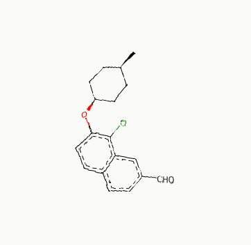 C[C@H]1CC[C@@H](Oc2ccc3ccc(C=O)cc3c2Cl)CC1